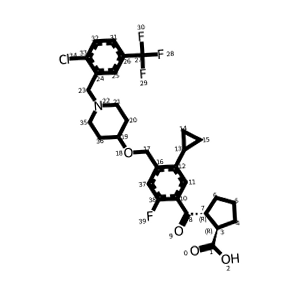 O=C(O)[C@@H]1CCC[C@H]1C(=O)c1cc(C2CC2)c(COC2CCN(Cc3cc(C(F)(F)F)ccc3Cl)CC2)cc1F